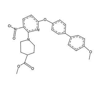 COC(=O)C1CCN(c2nc(Oc3ccc(-c4ccc(OC)cc4)cc3)ccc2[N+](=O)[O-])CC1